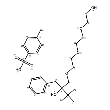 CC(C)(C)C(O)(COCCOCCOCCO)Cc1ccccc1.Cc1ccc(S(=O)(=O)O)cc1